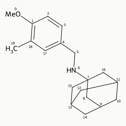 COc1ccc(CNC23CC4CC(CC(C4)C2)C3)cc1C